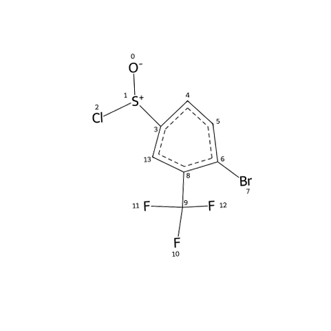 [O-][S+](Cl)c1ccc(Br)c(C(F)(F)F)c1